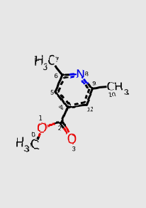 COC(=O)c1cc(C)nc(C)c1